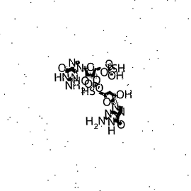 Nc1nc2c(ncn2[C@@H]2OC(COP(=O)(O)S)[C@@H](OP(=O)(S)OCC3C[C@@H](O)[C@H](n4cnc5c(=O)[nH]c(N)nc54)O3)[C@H]2O)c(=O)[nH]1